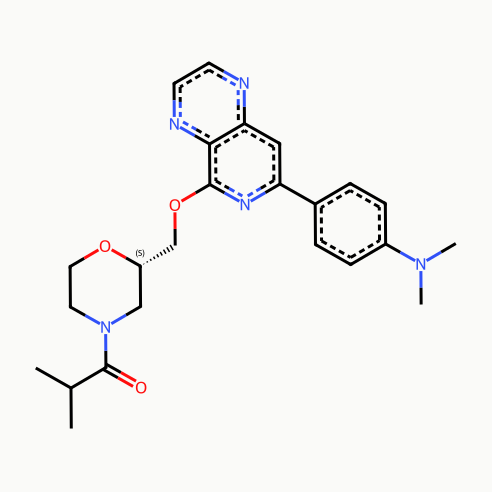 CC(C)C(=O)N1CCO[C@H](COc2nc(-c3ccc(N(C)C)cc3)cc3nccnc23)C1